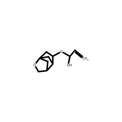 C=CC(O)OC1CC23CC(CO2)C1C3